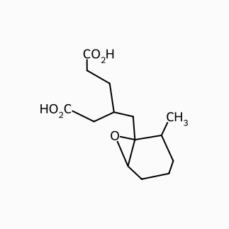 CC1CCCC2OC12CC(CCC(=O)O)CC(=O)O